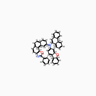 c1ccc(-c2nc3ccc4ccc5ccc(N(c6ccc7c(c6)oc6ccccc67)c6cc7ccccc7c7ccccc67)cc5c4c3o2)cc1